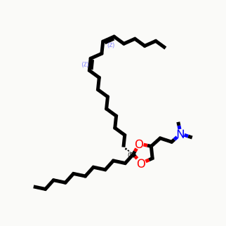 CCCCC/C=C\C/C=C\CCCCCCCC[C@@]1(CCCCCCCCCC)OCC(CCN(C)C)O1